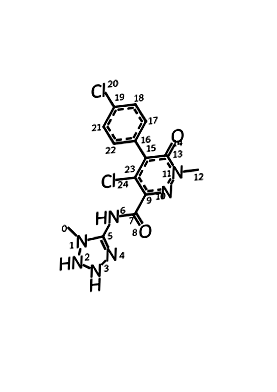 CN1NNN=C1NC(=O)c1nn(C)c(=O)c(-c2ccc(Cl)cc2)c1Cl